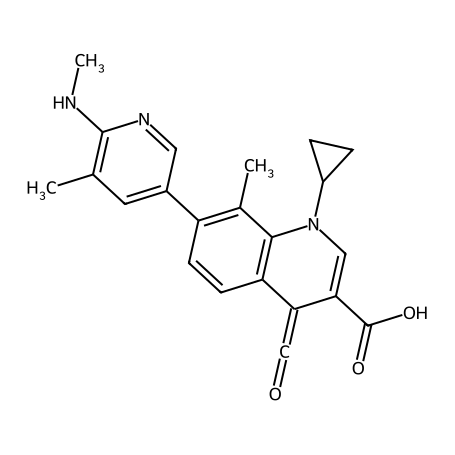 CNc1ncc(-c2ccc3c(c2C)N(C2CC2)C=C(C(=O)O)C3=C=O)cc1C